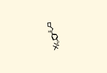 CC(C)(C)[Si](C)(C)Oc1ccc(NCC2CCC2)cc1